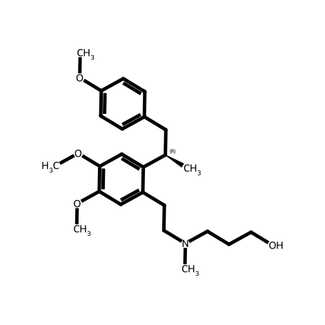 COc1ccc(C[C@@H](C)c2cc(OC)c(OC)cc2CCN(C)CCCO)cc1